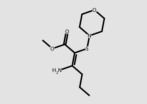 CCC/C(N)=C(\SN1CCOCC1)C(=O)OC